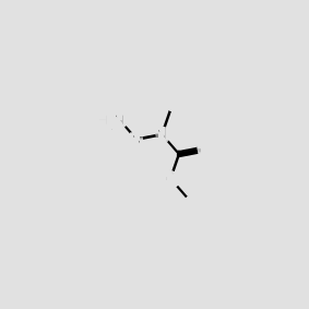 COC(=O)N(C)NN